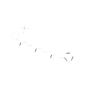 CC(C)(C)CN1CCCC1C(=O)NCCC(=O)NCCC(=O)OCc1ccccc1